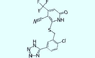 N#Cc1c(C(F)(F)F)cc(=O)[nH]c1SCc1cc(-c2nnn[nH]2)ccc1Cl